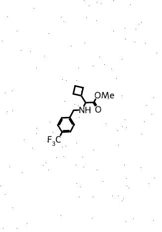 COC(=O)C(NCc1ccc(C(F)(F)F)cc1)C1CCC1